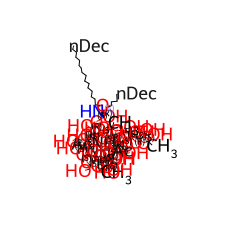 CCCCCCCCCCCCC/C=C/[C@@H](O)[C@H](CO[C@@H]1OC(CO)[C@@H](O[C@@H]2OC(CO)[C@H](O)[C@H](O[C@@H]3OC(CO)[C@@H](O[C@@H]4OC(CO)[C@H](O)[C@H](O[C@@H]5OC(CO)[C@@H](O[C@@H]6OC(CO)[C@H](O)[C@H](O)C6O[C@H]6OC(C)[C@@H](O)C(O)[C@@H]6O)[C@H](O[C@H]6OC(C)[C@@H](O)C(O)[C@@H]6O)C5NC(C)=O)C4O)[C@H](O[C@H]4OC(C)[C@@H](O)C(O)[C@@H]4O)C3NC(C)=O)C2O)[C@H](O)C1O)NC(=O)CCCCCCCCCCCCCCCCCCCCCCCCC